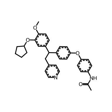 COc1ccc(C(Cc2ccncc2)c2ccc(Oc3ccc(NC(C)=O)cc3)cc2)cc1OC1CCCC1